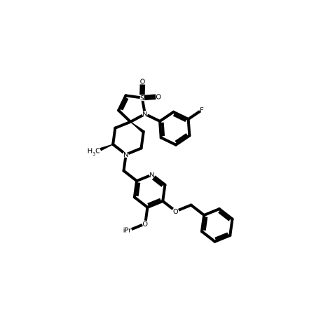 CC(C)Oc1cc(CN2CC[C@]3(C=CS(=O)(=O)N3c3cccc(F)c3)C[C@@H]2C)ncc1OCc1ccccc1